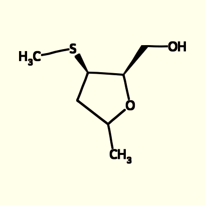 CS[C@@H]1CC(C)O[C@@H]1CO